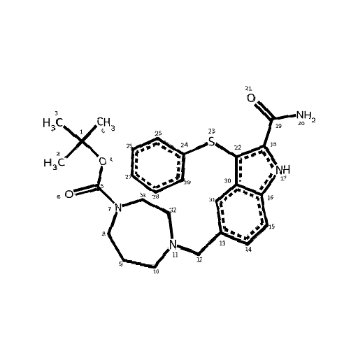 CC(C)(C)OC(=O)N1CCCN(Cc2ccc3[nH]c(C(N)=O)c(Sc4ccccc4)c3c2)CC1